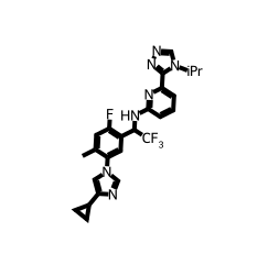 Cc1cc(F)c(C(Nc2cccc(-c3nncn3C(C)C)n2)C(F)(F)F)cc1-n1cnc(C2CC2)c1